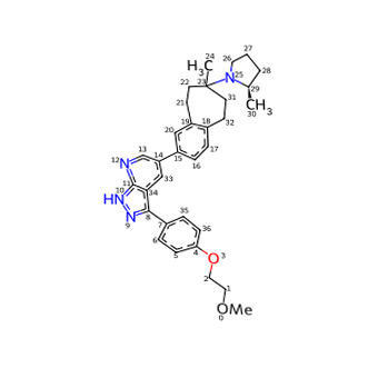 COCCOc1ccc(-c2n[nH]c3ncc(-c4ccc5c(c4)CCC(C)(N4CCC[C@H]4C)CC5)cc23)cc1